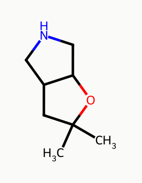 CC1(C)CC2CNCC2O1